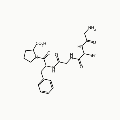 CC(C)C(NC(=O)CN)C(=O)NCC(=O)NC(Cc1ccccc1)C(=O)N1CCCC1C(=O)O